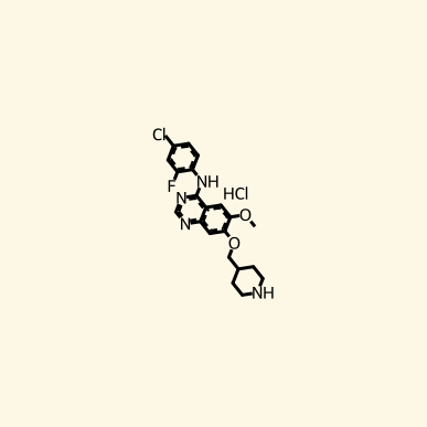 COc1cc2c(Nc3ccc(Cl)cc3F)ncnc2cc1OCC1CCNCC1.Cl